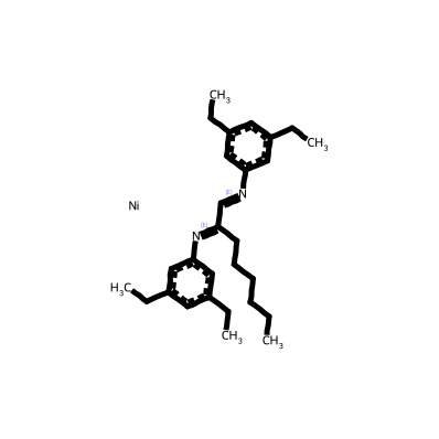 CCCCCCC(/C=N/c1cc(CC)cc(CC)c1)=N\c1cc(CC)cc(CC)c1.[Ni]